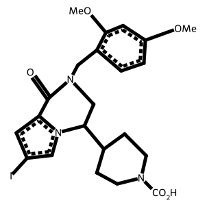 COc1ccc(CN2CC(C3CCN(C(=O)O)CC3)n3cc(I)cc3C2=O)c(OC)c1